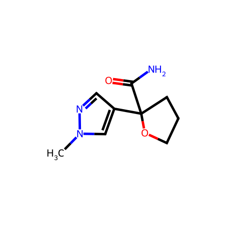 Cn1cc(C2(C(N)=O)CCCO2)cn1